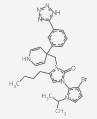 CCCCc1cn(-c2c(Br)ccn2C(C)C)c(=O)n1CC1(c2cccc(-c3nnn[nH]3)c2)C=CNC=C1